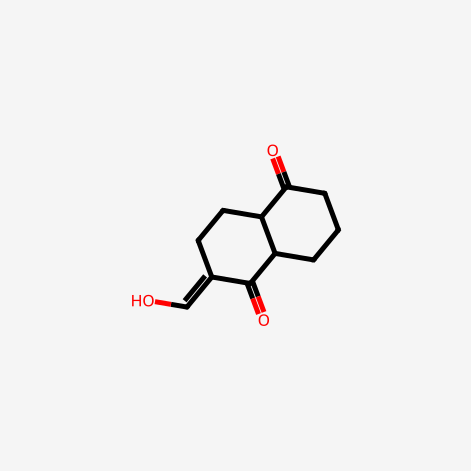 O=C1CCCC2C(=O)C(=CO)CCC12